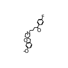 COc1ccc2c(c1)OC1(CCN(CCCC(=O)c3ccc(F)cc3)C1)C2